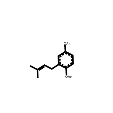 CC(=O)Oc1ccc(OC(C)=O)c(CC=C(C)C)c1